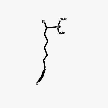 CCC(CCCCCN=C=O)[SiH](OC)OC